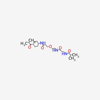 CC(C)C(=O)NCCC(=O)NCCOCCC(=O)N[C@H]1CC[C@@H](C(=O)C(C)C)CC1